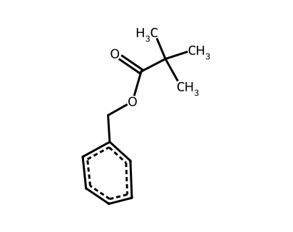 CC(C)(C)C(=O)OCc1ccccc1